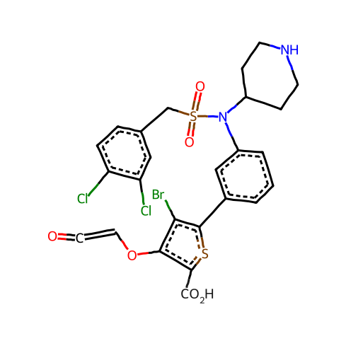 O=C=COc1c(C(=O)O)sc(-c2cccc(N(C3CCNCC3)S(=O)(=O)Cc3ccc(Cl)c(Cl)c3)c2)c1Br